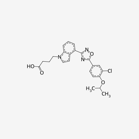 CC(C)Oc1ccc(-c2nc(-c3cccc4c3ccn4CCCC(=O)O)no2)cc1Cl